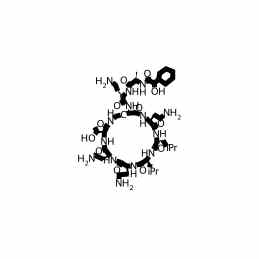 CC(C)C[C@@H]1NC(=O)[C@@H](CC(C)C)NC(=O)[C@H](CCN)NC(=O)[C@@H](NC(=O)[C@H](CCN)NC(=O)[C@H](C)NC(=O)C(O)C2CCCCC2)CCNC(=O)[C@H](C(C)O)NC(=O)[C@H](CCN)NC(=O)[C@H](CCN)NC1=O